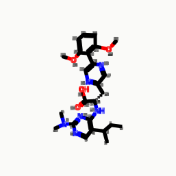 CCC(C)c1cnc(N(C)C)nc1N[C@@H](Cc1cnc(-c2c(OC)cccc2OC)cn1)C(=O)O